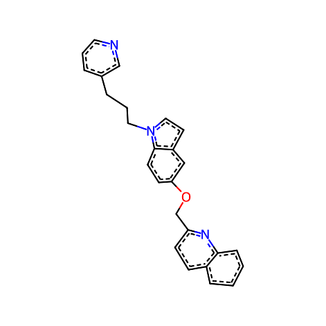 c1cncc(CCCn2ccc3cc(OCc4ccc5ccccc5n4)ccc32)c1